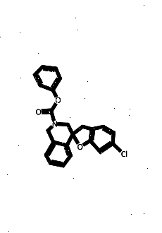 O=C(Oc1ccccc1)N1Cc2ccccc2C2(Cc3ccc(Cl)cc3O2)C1